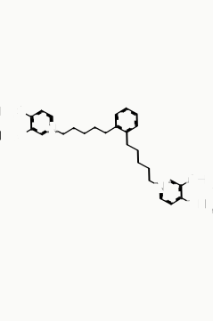 Cc1cc[n+](CCCCCc2ccccc2CCCCC[n+]2ccc(C)c(C)c2)cc1C